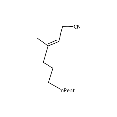 CCCCCCCCC(C)=CCC#N